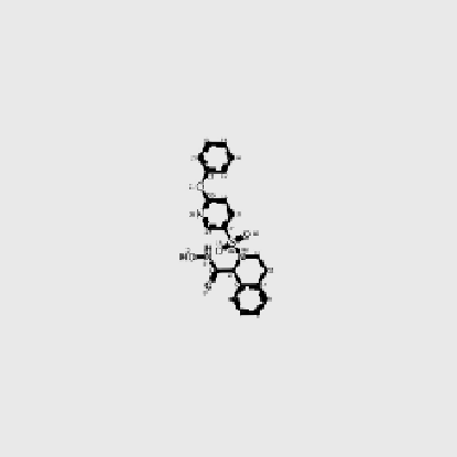 O=C(NO)C1c2ccccc2CCN1S(=O)(=O)c1ccc(Oc2ccccc2)nc1